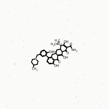 COc1ccc(CN2CCC(C)CC2)cc1-c1ccc(O)c2c1CC1CC3C(C(=O)C(C(N)=O)=C(O)[C@H]3N(C)C)C(O)=C1C2=O